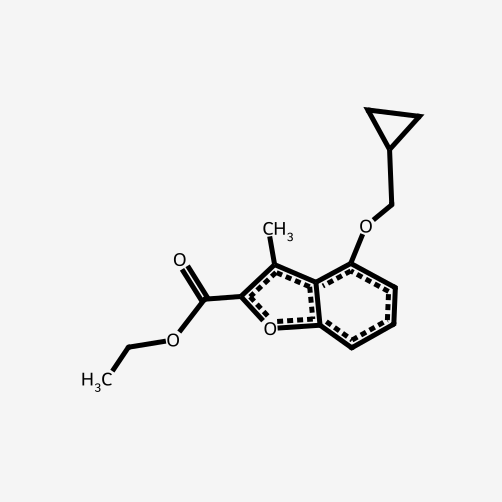 CCOC(=O)c1oc2cccc(OCC3CC3)c2c1C